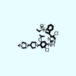 CC[S+]([O-])n1cc(-c2nc(Nc3cc(OC(C)C)c(N4CCC(N5CCN(C)CC5)CC4)cc3Cl)ncc2Cl)c2ccccc21